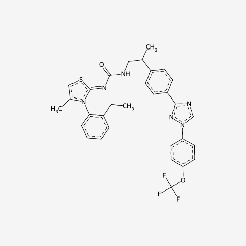 CCc1ccccc1-n1c(C)cs/c1=N\C(=O)NCC(C)c1ccc(-c2ncn(-c3ccc(OC(F)(F)F)cc3)n2)cc1